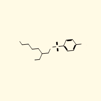 CCCCCC(CC)COS(=O)(=O)c1ccc(C)cc1